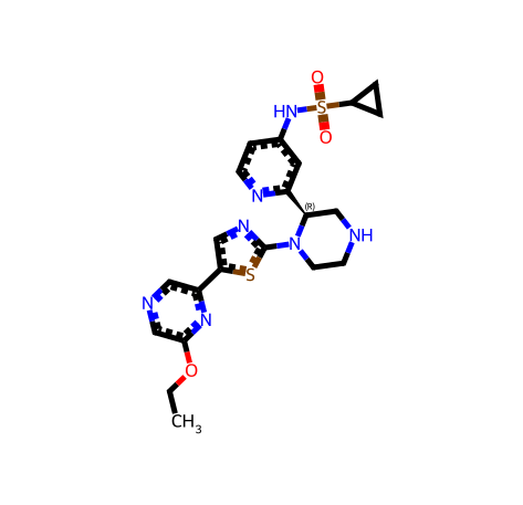 CCOc1cncc(-c2cnc(N3CCNC[C@@H]3c3cc(NS(=O)(=O)C4CC4)ccn3)s2)n1